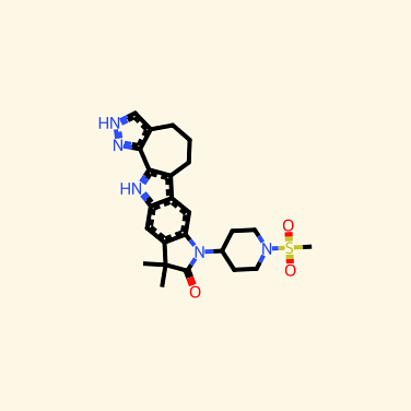 CC1(C)C(=O)N(C2CCN(S(C)(=O)=O)CC2)c2cc3c4c([nH]c3cc21)-c1n[nH]cc1CCC4